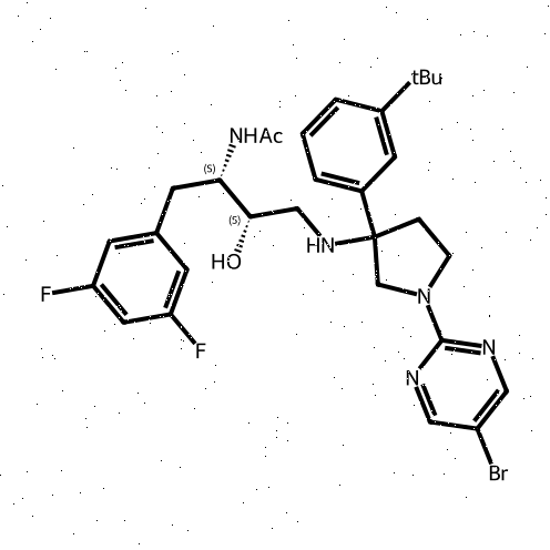 CC(=O)N[C@@H](Cc1cc(F)cc(F)c1)[C@@H](O)CNC1(c2cccc(C(C)(C)C)c2)CCN(c2ncc(Br)cn2)C1